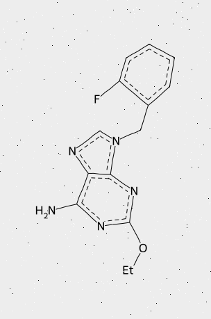 CCOc1nc(N)c2ncn(Cc3ccccc3F)c2n1